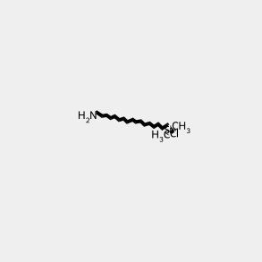 C[Si](C)(Cl)CCCCCCCCCCCCCCCCCN